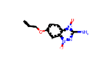 C=CCOc1ccc2c(c1)[n+]([O-])nc(N)[n+]2[O-]